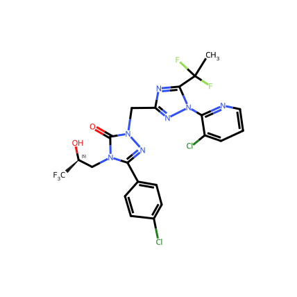 CC(F)(F)c1nc(Cn2nc(-c3ccc(Cl)cc3)n(C[C@H](O)C(F)(F)F)c2=O)nn1-c1ncccc1Cl